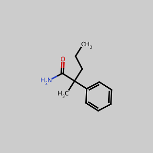 CCCC(C)(C(N)=O)c1ccccc1